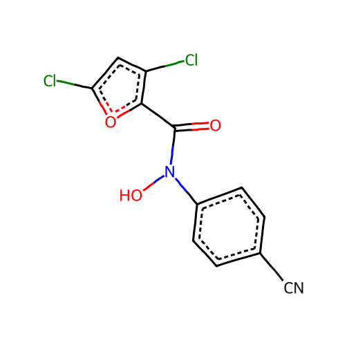 N#Cc1ccc(N(O)C(=O)c2oc(Cl)cc2Cl)cc1